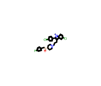 Cn1c(-c2ccc(Cl)cc2)c(CCCN2CCC([S+]([O-])Cc3ccc(F)cc3)CC2)c2cc(Cl)ccc21